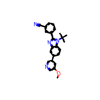 COc1cncc(-c2ccc3c(c2)nc(-c2cccc(C#N)c2)n3C(C)(C)C)c1